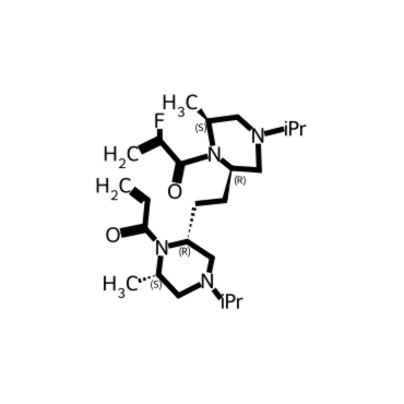 C=CC(=O)N1[C@H](CC[C@@H]2CN(C(C)C)C[C@H](C)N2C(=O)C(=C)F)CN(C(C)C)C[C@@H]1C